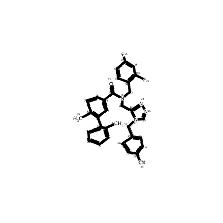 Cc1ccccc1-c1cc(C(=O)N(Cc2ccc(F)cc2F)Cc2nncn2Cc2ccc(C#N)cc2)ccc1C